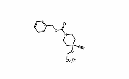 C#CC1(OCC(=O)OCC)CCN(C(=O)OCc2ccccc2)CC1